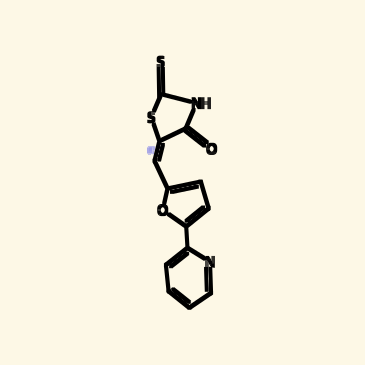 O=C1NC(=S)S/C1=C/c1ccc(-c2ccccn2)o1